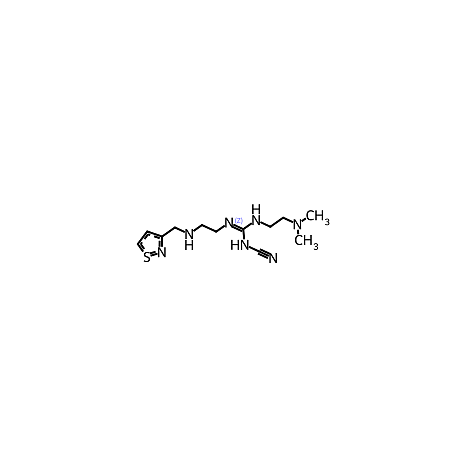 CN(C)CCN/C(=N/CCNCc1ccsn1)NC#N